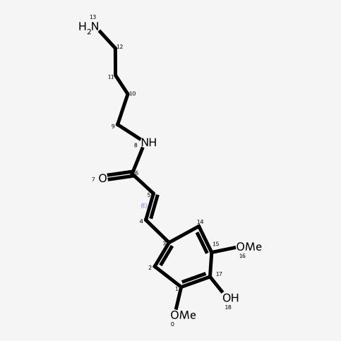 COc1cc(/C=C/C(=O)NCCCCN)cc(OC)c1O